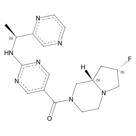 C[C@H](Nc1ncc(C(=O)N2CCN3C[C@@H](F)C[C@H]3C2)cn1)c1cnccn1